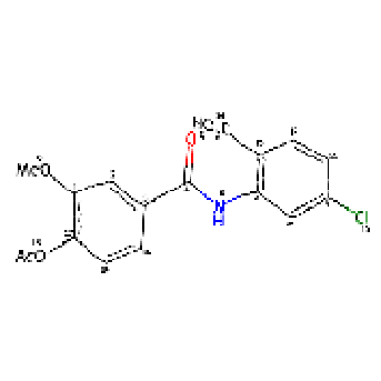 COc1cc(C(=O)Nc2cc(Cl)ccc2C(=O)O)ccc1OC(C)=O